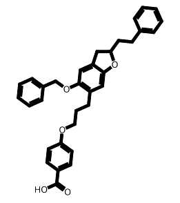 O=C(O)c1ccc(OCCCc2cc3c(cc2OCc2ccccc2)CC(CCc2ccccc2)O3)cc1